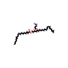 CCCCCC=CC/C=C\CCCCCCCC(=O)OCCC(CCCCCCCC/C=C\C/C=C\CCCCC)OC(=O)CCN(C)C